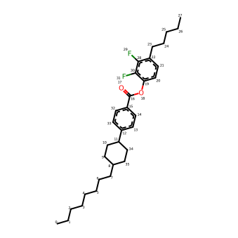 CCCCCCCCC1CCC(c2ccc(C(=O)Oc3ccc(CCCCC)c(F)c3F)cc2)CC1